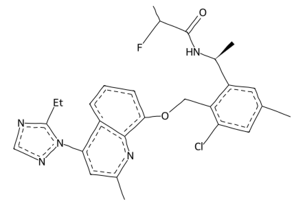 CCc1ncnn1-c1cc(C)nc2c(OCc3c(Cl)cc(C)cc3[C@H](C)NC(=O)C(C)F)cccc12